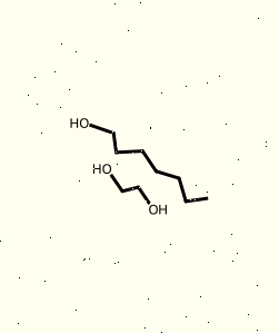 CCCCCCCO.OCCO